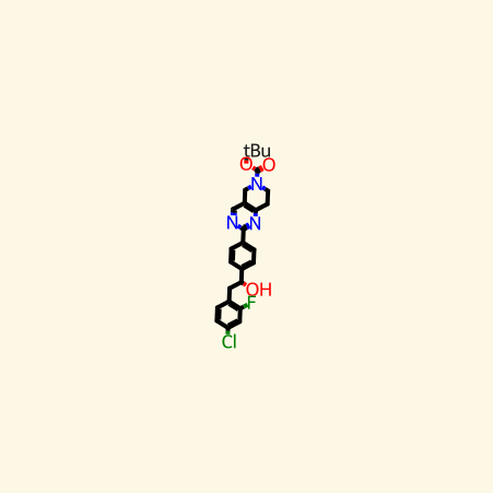 CC(C)(C)OC(=O)N1CCc2nc(-c3ccc(C(O)Cc4ccc(Cl)cc4F)cc3)ncc2C1